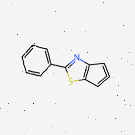 C1=Cc2nc(-c3ccccc3)sc2C=1